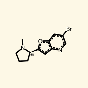 CN1CCC[C@@H]1c1cc2ncc(Br)cc2o1